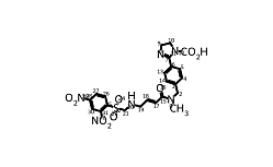 CN(Cc1ccc(C2=NCCN2C(=O)O)cc1)C(=O)C=CCNCS(=O)(=O)c1ccc([N+](=O)[O-])cc1[N+](=O)[O-]